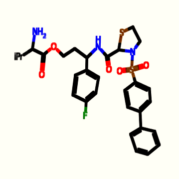 CC(C)C(N)C(=O)OCCC(NC(=O)C1SCCN1S(=O)(=O)c1ccc(-c2ccccc2)cc1)c1ccc(F)cc1